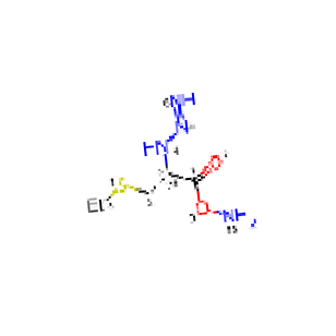 CCSC[C@H](NN=N)C(=O)ON